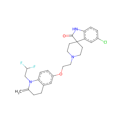 C=C1CCc2cc(OCCN3CCC4(CC3)C(=O)Nc3ccc(Cl)cc34)ccc2N1CC(F)F